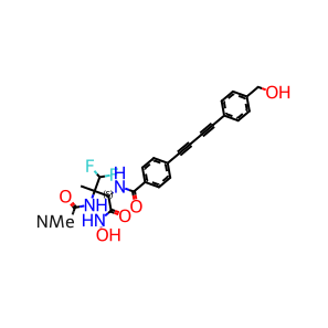 CNC(=O)NC(C)(C(F)F)[C@H](NC(=O)c1ccc(C#CC#Cc2ccc(CO)cc2)cc1)C(=O)NO